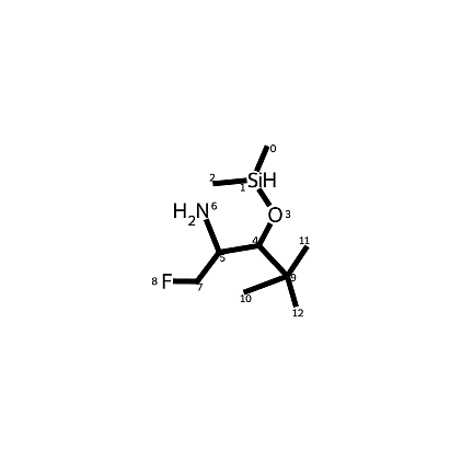 C[SiH](C)OC(C(N)CF)C(C)(C)C